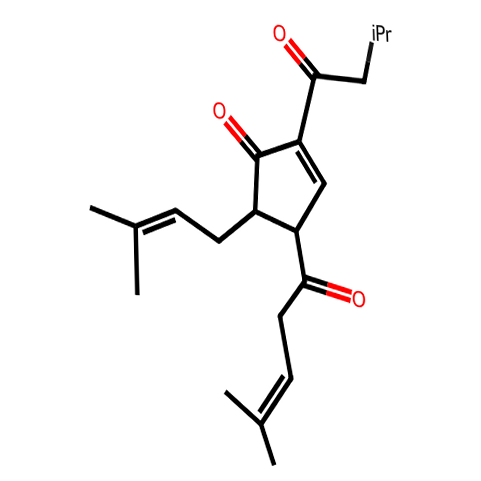 CC(C)=CCC(=O)C1C=C(C(=O)CC(C)C)C(=O)C1CC=C(C)C